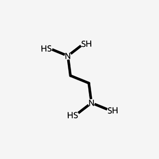 SN(S)CCN(S)S